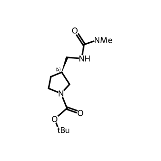 CNC(=O)NC[C@@H]1CCN(C(=O)OC(C)(C)C)C1